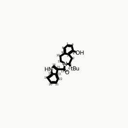 CC(C)(C)C1Cc2c(O)cccc2CCN1C(=O)c1c[nH]c2ccccc12